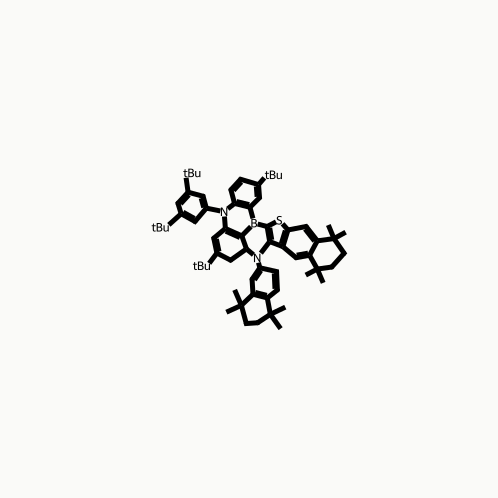 CC(C)(C)C1=CC2=C3B(c4cc(C(C)(C)C)ccc4N2c2cc(C(C)(C)C)cc(C(C)(C)C)c2)c2sc4cc5c(cc4c2N(c2ccc4c(c2)C(C)(C)CCC4(C)C)C3C1)C(C)(C)CCC5(C)C